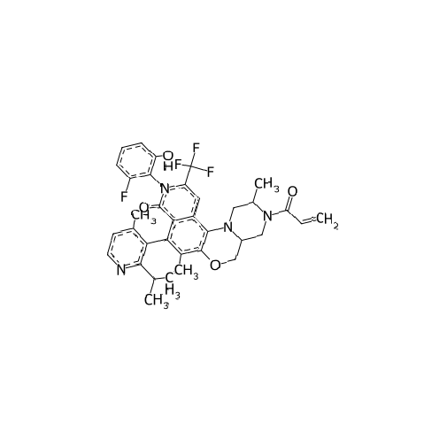 C=CC(=O)N1CC2COc3c(C)c(-c4c(C)ccnc4C(C)C)c4c(=O)n(-c5c(O)cccc5F)c(C(F)(F)F)cc4c3N2CC1C